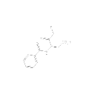 O=C(O)CC(NC(=O)c1ccccc1)C(=O)CF